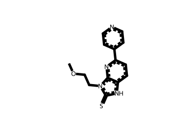 COCCn1c(=S)[nH]c2ccc(-c3ccncc3)nc21